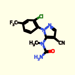 CN(C(N)=O)c1c(C#N)cnn1-c1ccc(C(F)(F)F)cc1Cl